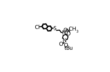 CN1ON(CCCSc2ccc3cc(Cl)ccc3c2)C2(CCN(C(=O)OC(C)(C)C)CC2)O1